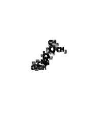 Cc1cc(C)cc(-c2ccc3c(c2)ncn3CC2(O)COC2)c1